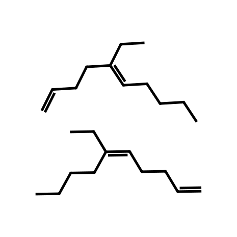 C=CCCC(=CCCCC)CC.C=CCCC=C(CC)CCCC